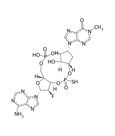 Cn1cnc2c(ncn2[C@@H]2C[C@@H]3OP(=O)(S)O[C@H]4[C@@H](F)[C@H](n5cnc6c(N)ncnc65)O[C@@H]4COP(=O)(O)O[C@@H]2[C@@H]3O)c1=O